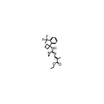 C=N/C(=N\C=C(/C)C(=O)OCC)NC1(c2ccccc2C(F)(F)F)CCC1